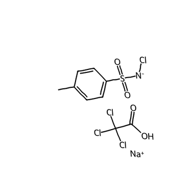 Cc1ccc(S(=O)(=O)[N-]Cl)cc1.O=C(O)C(Cl)(Cl)Cl.[Na+]